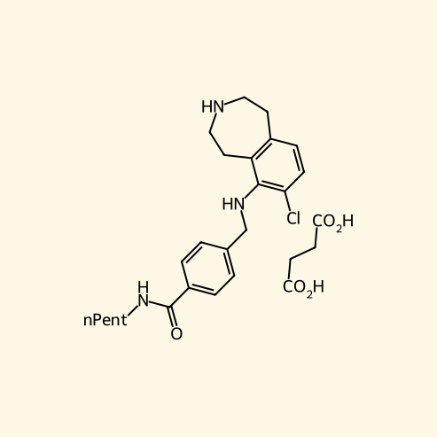 CCCCCNC(=O)c1ccc(CNc2c(Cl)ccc3c2CCNCC3)cc1.O=C(O)CCC(=O)O